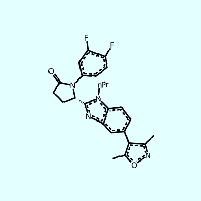 CCCn1c([C@@H]2CCC(=O)N2c2ccc(F)c(F)c2)nc2cc(-c3c(C)noc3C)ccc21